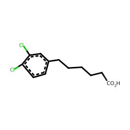 O=C(O)CCCCCc1ccc(Cl)c(Cl)c1